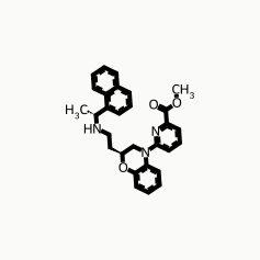 COC(=O)c1cccc(N2C[C@H](CCN[C@H](C)c3cccc4ccccc34)Oc3ccccc32)n1